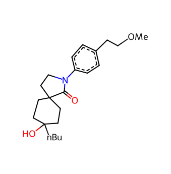 CCCCC1(O)CCC2(CCN(c3ccc(CCOC)cc3)C2=O)CC1